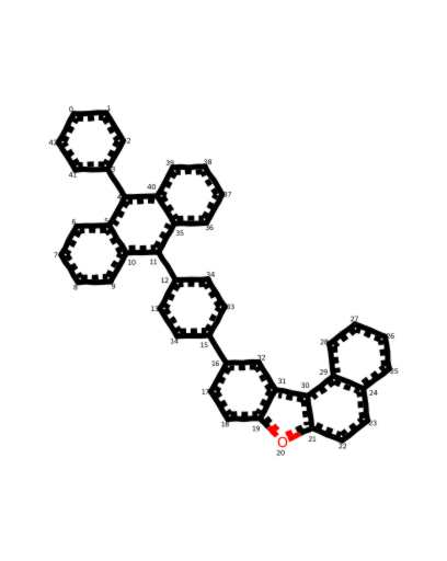 c1ccc(-c2c3ccccc3c(-c3ccc(-c4ccc5oc6ccc7ccccc7c6c5c4)cc3)c3ccccc23)cc1